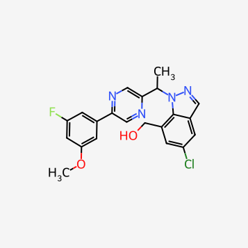 COc1cc(F)cc(-c2cnc(C(C)n3ncc4cc(Cl)cc(CO)c43)cn2)c1